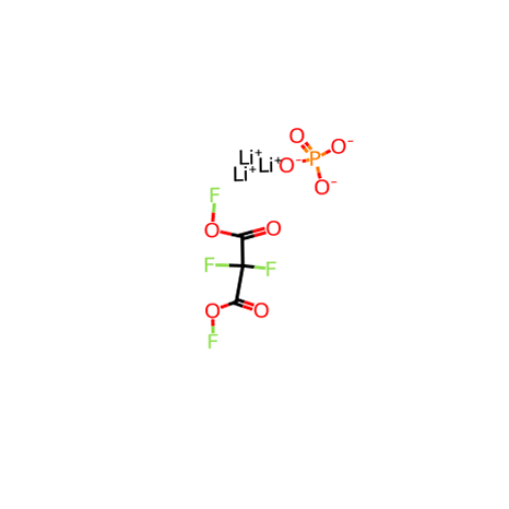 O=C(OF)C(F)(F)C(=O)OF.O=P([O-])([O-])[O-].[Li+].[Li+].[Li+]